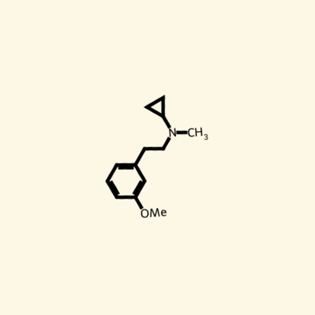 COc1cccc(CCN(C)C2CC2)c1